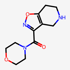 O=C(c1noc2c1CNCC2)N1CCOCC1